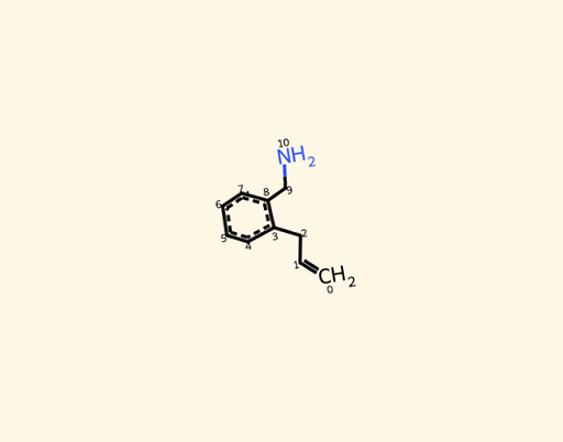 C=CCc1ccc[c]c1CN